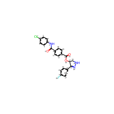 O=C(Nc1ccc(Cl)cc1)c1ccc(C(=O)OC2CNN=C2c2ccc(F)cc2)cc1